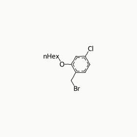 CCCCCCOc1cc(Cl)ccc1CBr